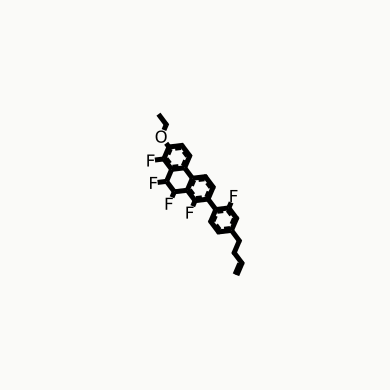 C=CCCc1ccc(-c2ccc3c(c2F)C(F)C(F)c2c-3ccc(OCC)c2F)c(F)c1